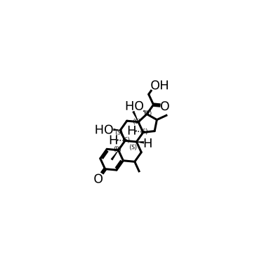 CC1C[C@@H]2[C@H]([C@@H](O)C[C@@]3(C)[C@H]2CC(C)[C@]3(O)C(=O)CO)[C@@]2(C)C=CC(=O)C=C12